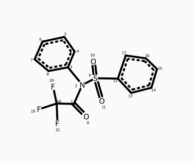 O=C(N(c1ccccc1)S(=O)(=O)c1ccccc1)C(F)(F)F